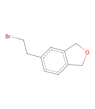 BrCCc1ccc2c(c1)COC2